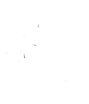 CC(C)CN(C[C@H]1OC(C)(C)N(C(=O)O[C@H]2CO[C@H]3OCC[C@H]32)[C@H]1Cc1ccc(OCCNC(=O)OC(C)(C)C)cc1)S(=O)(=O)c1ccc2c(c1)OCO2